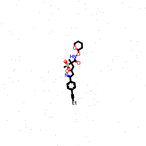 CCC#Cc1ccc(C2=NOC(CC(C)(C(=O)NOC3CCCCO3)S(C)(=O)=O)C2)cc1